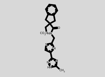 Cc1nc(-c2csc(CNC(=O)C3(CC(=O)O)Cc4ccccc4C3)n2)n[nH]1